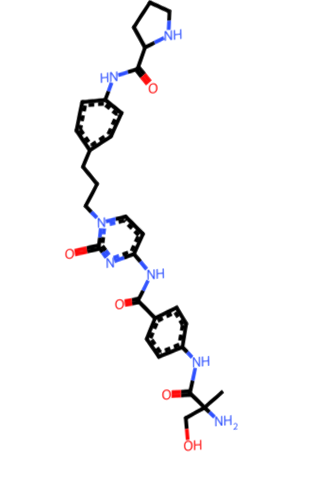 CC(N)(CO)C(=O)Nc1ccc(C(=O)Nc2ccn(CCCc3ccc(NC(=O)C4CCCN4)cc3)c(=O)n2)cc1